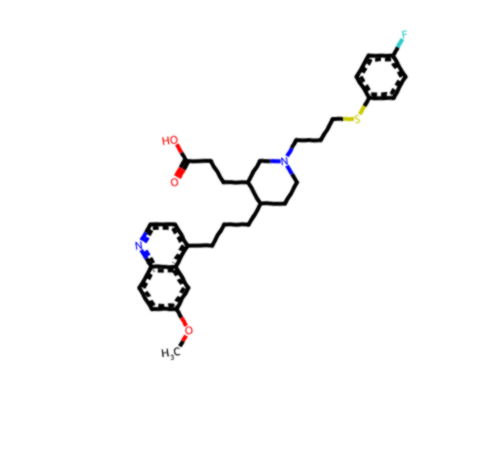 COc1ccc2nccc(CCCC3CCN(CCCSc4ccc(F)cc4)CC3CCC(=O)O)c2c1